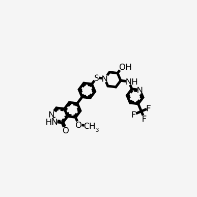 COc1cc(-c2ccc(SN3CCC(Nc4ccc(C(F)(F)F)cn4)C(O)C3)cc2)cc2cn[nH]c(=O)c12